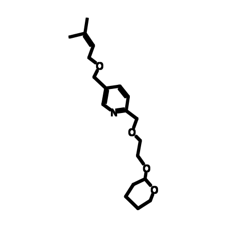 CC(C)=CCOCc1ccc(COCCOC2CCCCO2)nc1